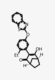 CCc1ccc(Oc2nc3ccccc3s2)cc1C1=C(O)[C@H]2CC[C@H](C2)C1=O